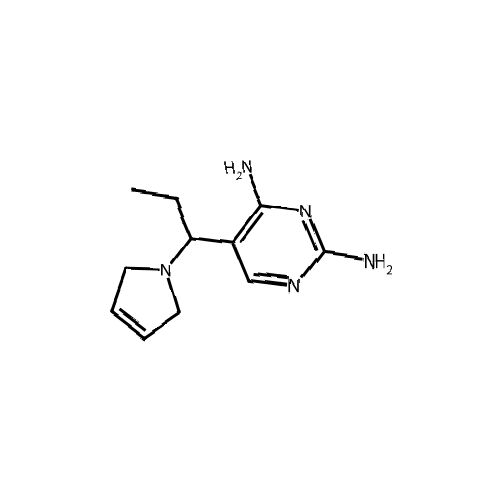 CCC(c1cnc(N)nc1N)N1CC=CC1